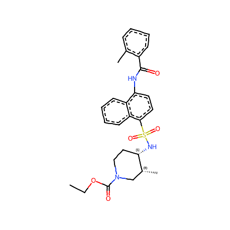 CCOC(=O)N1CC[C@H](NS(=O)(=O)c2ccc(NC(=O)c3ccccc3C)c3ccccc23)[C@H](C)C1